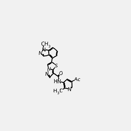 CC(=O)c1cnc(C)c(NC(=O)c2cnn3cc(-c4cccc5c4cnn5C)sc23)c1